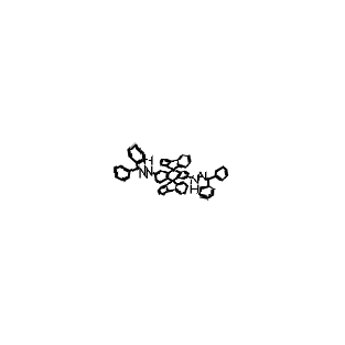 c1ccc(C(=NNc2ccc3c(c2)C2(c4ccccc4-c4ccccc42)c2ccc(NN=C(c4ccccc4)c4ccccc4)cc2C32c3ccccc3-c3ccccc32)c2ccccc2)cc1